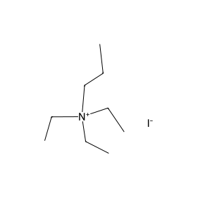 CCC[N+](CC)(CC)CC.[I-]